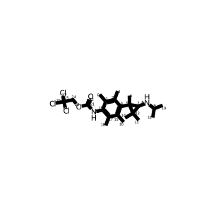 Cc1c(C)c(C2(C)C(NC(C)C)C2(C)C)c(C)c(C)c1NC(=O)OCC(Cl)(Cl)Cl